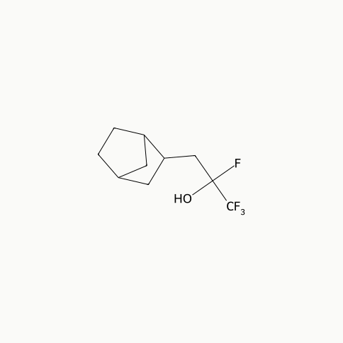 OC(F)(CC1CC2CCC1C2)C(F)(F)F